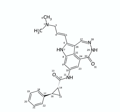 CN(C)C/C=C/c1[nH]c2cc(NC(=O)[C@@H]3C[C@H]3c3ccccc3)cc3c2c1C=NNC3=O